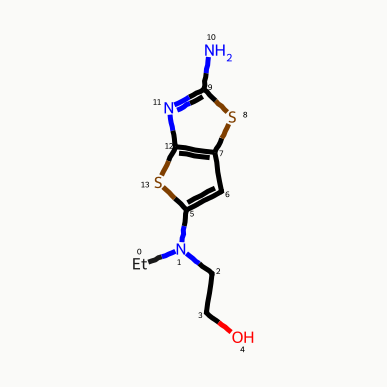 CCN(CCO)c1cc2sc(N)nc2s1